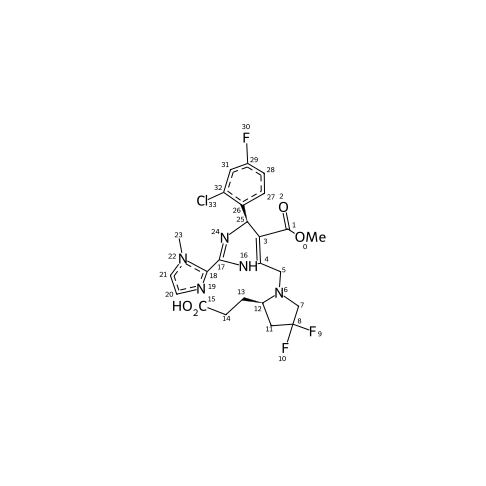 COC(=O)C1=C(CN2CC(F)(F)C[C@H]2CCC(=O)O)NC(c2nccn2C)=N[C@H]1c1ccc(F)cc1Cl